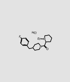 CCN1CCCCC1C(=O)N1CCC(Cc2ccc(F)cc2)CC1.Cl